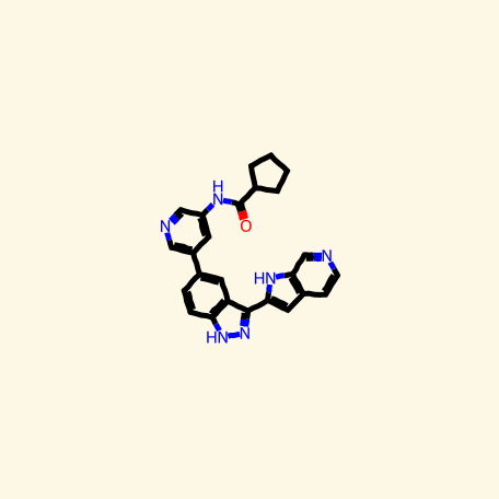 O=C(Nc1cncc(-c2ccc3[nH]nc(-c4cc5ccncc5[nH]4)c3c2)c1)C1CCCC1